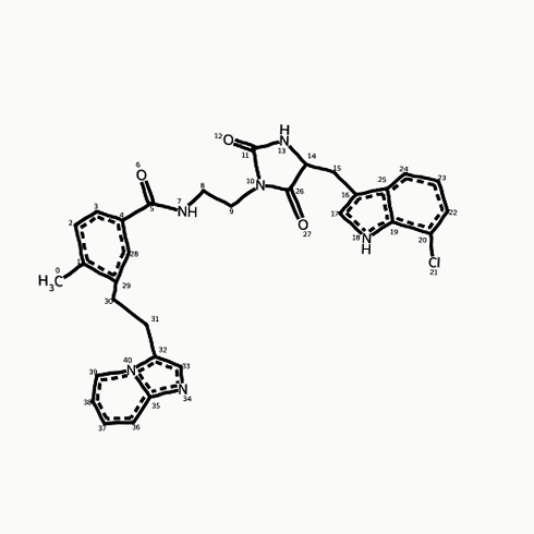 Cc1ccc(C(=O)NCCN2C(=O)NC(Cc3c[nH]c4c(Cl)cccc34)C2=O)cc1CCc1cnc2ccccn12